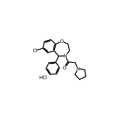 Cl.O=C(CN1CCCC1)N1CCOc2ccc(Cl)cc2C1c1ccccc1